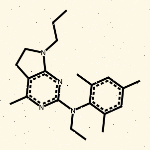 CCCN1CCc2c(C)nc(N(CC)c3c(C)cc(C)cc3C)nc21